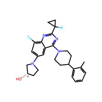 Cc1ccccc1C1CCN(c2nc(C3(F)CC3)nc3c(F)cc(N4CC[C@H](O)C4)cc23)CC1